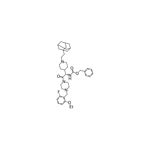 CCOc1cccc(F)c1CN1CCN(C(=O)[C@H](NC(=O)OCc2ccccc2)C2CCN(CCC34CC5CC(CC(C5)C3)C4)CC2)CC1